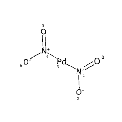 O=[N+]([O-])[Pd][N+](=O)[O-]